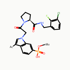 CCCCOP(=O)(O)c1ccc2c(C(C)=O)cn(CC(=O)N3CCC[C@H]3C(=O)NCc3cccc(Cl)c3F)c2c1